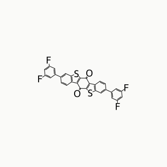 O=C1c2sc3cc(-c4cc(F)cc(F)c4)ccc3c2C(=O)c2sc3cc(-c4cc(F)cc(F)c4)ccc3c21